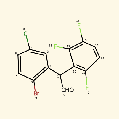 O=CC(c1cc(Cl)ccc1Br)c1c(F)ccc(F)c1F